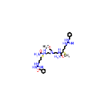 COCCN(CCCNC(C(N)=O)C(CCCCNC(=N)NCc1ccccc1)SC)CCCNN(SCCCCNC(=N)NC(=O)c1ccccc1)C(N)=O